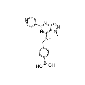 Cn1ncc2nc(-c3ccncc3)nc(NCc3ccc(B(O)O)cc3)c21